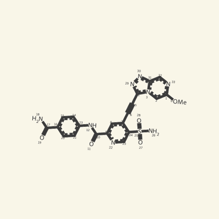 COc1cn2c(C#Cc3cc(C(=O)Nc4ccc(C(N)=O)cc4)ncc3S(N)(=O)=O)nnc2cn1